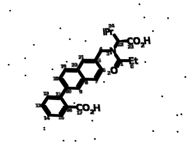 CCC(=O)N(Cc1ccc2cc(-c3ccccc3C(=O)O)ccc2c1)[C@H](C(=O)O)C(C)C